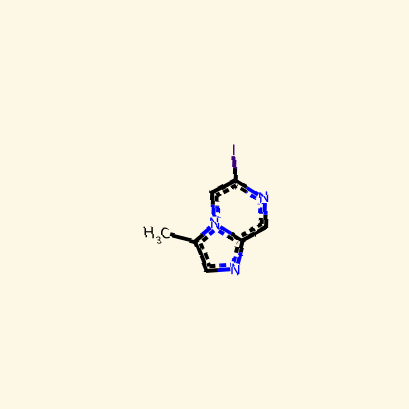 Cc1cnc2cnc(I)cn12